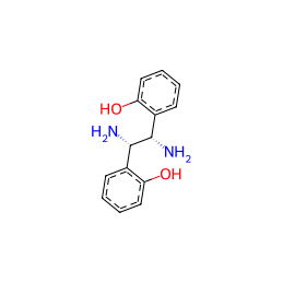 N[C@@H](c1ccccc1O)[C@@H](N)c1ccccc1O